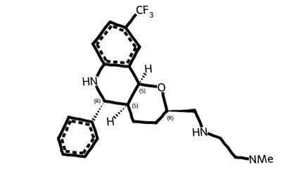 CNCCNC[C@H]1CC[C@@H]2[C@H](O1)c1cc(C(F)(F)F)ccc1N[C@H]2c1ccccc1